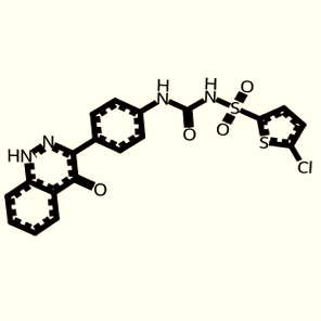 O=C(Nc1ccc(-c2n[nH]c3ccccc3c2=O)cc1)NS(=O)(=O)c1ccc(Cl)s1